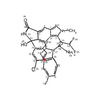 Cn1nc2cc3c(c(C4Sc5cc(F)ccc5N4C(N)=O)c2c1CC(F)F)C(O)(c1cc(Cl)ccc1F)NC3=O